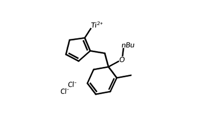 CCCCOC1(CC2=[C]([Ti+2])CC=C2)CC=CC=C1C.[Cl-].[Cl-]